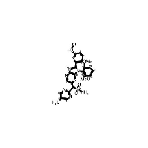 CCOc1cccc(-c2nc3ncc(C(c4ncc(C)cn4)S(N)(=O)=O)nc3n2-c2c(OC)cccc2OC)n1